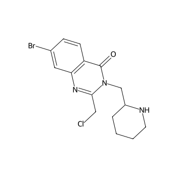 O=c1c2ccc(Br)cc2nc(CCl)n1CC1CCCCN1